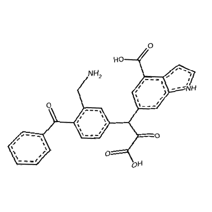 NCc1cc(C(C(=O)C(=O)O)c2cc(C(=O)O)c3cc[nH]c3c2)ccc1C(=O)c1ccccc1